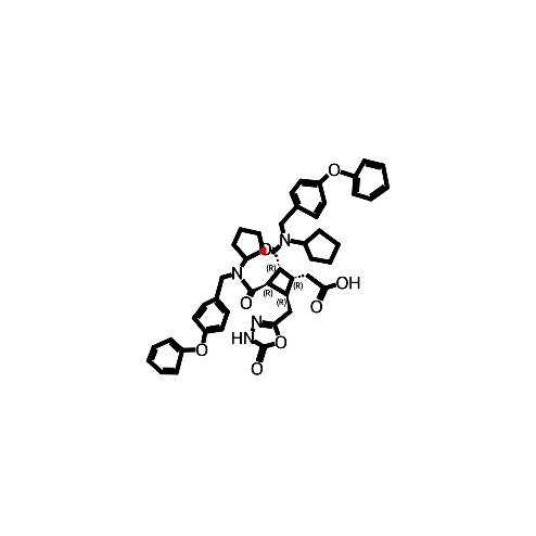 O=C(O)C[C@@H]1[C@@H](Cc2n[nH]c(=O)o2)[C@@H](C(=O)N(Cc2ccc(Oc3ccccc3)cc2)C2CCCC2)[C@@H]1C(=O)N(Cc1ccc(Oc2ccccc2)cc1)C1CCCC1